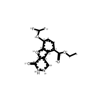 CCOC(=O)c1ccc(OC(F)F)c2oc3c(=O)[nH]ncc3c12